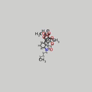 CCCCCN1C(=O)C2(COc3cc4c(cc32)OCO4)c2c(-c3cc(OC)c(OC)c(OC)c3)cccc21